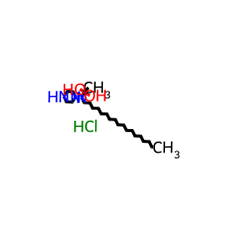 CCCCCCCCCCCCCCCCCCN(N1CCNCC1)C(C)(O)O.Cl